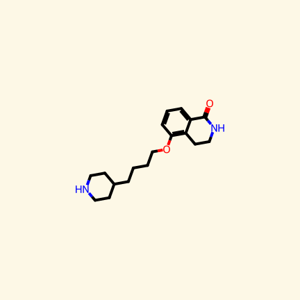 O=C1NCCc2c(OCCCCC3CCNCC3)cccc21